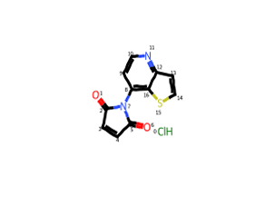 Cl.O=C1C=CC(=O)N1c1ccnc2ccsc12